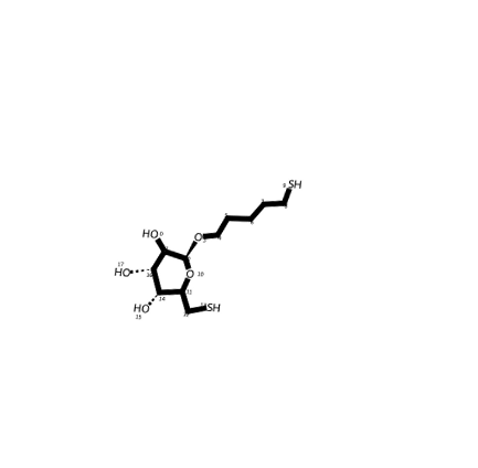 OC1[C@@H](OCCCCCS)OC(CS)[C@H](O)[C@@H]1O